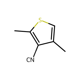 [C-]#[N+]c1c(C)csc1C